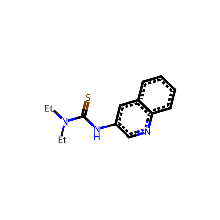 CCN(CC)C(=S)Nc1cnc2ccccc2c1